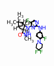 CNC(=O)[C@H]1C[C@H]2C[C@H](C2(C)C)[C@@]1(C)Nc1nc(Nc2ccc(N3CCC(F)(F)CC3)c(F)c2)ncc1F